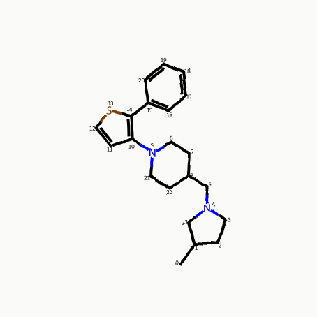 CC1CCN(CC2CCN(c3ccsc3-c3ccccc3)CC2)C1